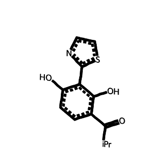 CC(C)C(=O)c1ccc(O)c(-c2nccs2)c1O